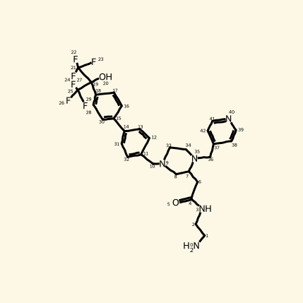 NCCNC(=O)CC1CN(Cc2ccc(-c3ccc(C(O)(C(F)(F)F)C(F)(F)F)cc3)cc2)CCN1Cc1ccncc1